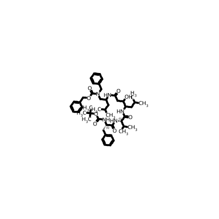 CC(C)CC(CN(Cc1ccccc1)C(=O)OCc1ccccc1)NC(=O)CC(O)C(CC(C)C)NC(=O)[C@@H](NC(=O)[C@H](Cc1ccccc1)NC(=O)OC(C)(C)C)C(C)C